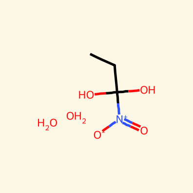 CCC(O)(O)[N+](=O)[O-].O.O